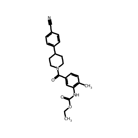 CCOC(=O)Nc1cc(C(=O)N2CCC(c3ccc(C#N)cc3)CC2)ccc1C